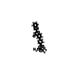 CC(C)(C)OC(=O)N1CCN(c2ccc3oc(-c4nc5ccccc5s4)cc(=O)c3c2)CC1